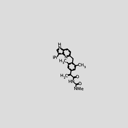 C=C(C(=O)NC(=O)NC)c1cc(C)c(Cc2ccc3[nH]cc(C(C)C)c3n2)c(C)c1